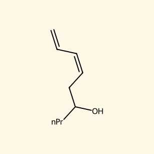 C=C/C=C\CC(O)CCC